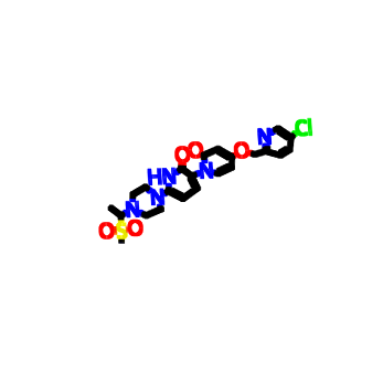 CC(N1CCN(c2ccc(-n3ccc(OCc4ccc(Cl)cn4)cc3=O)c(=O)[nH]2)CC1)S(C)(=O)=O